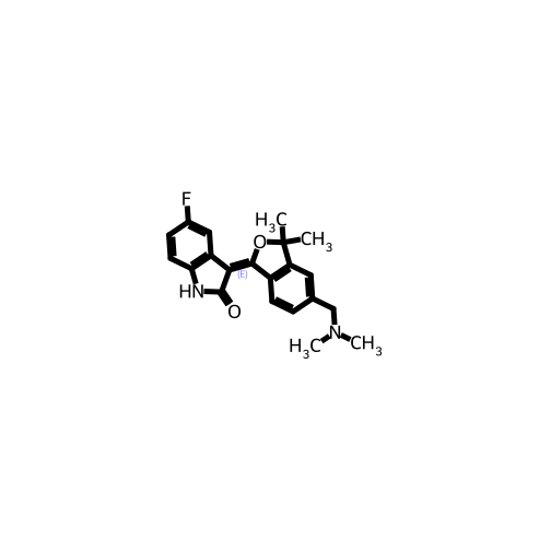 CN(C)Cc1ccc2c(c1)C(C)(C)O/C2=C1/C(=O)Nc2ccc(F)cc21